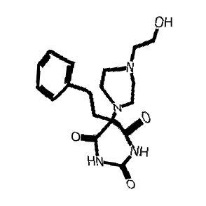 O=C1NC(=O)C(CCc2ccccc2)(N2CCN(CCO)CC2)C(=O)N1